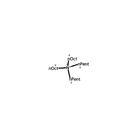 CCCCCCCC[N+](CCCCC)(CCCCC)CCCCCCCC